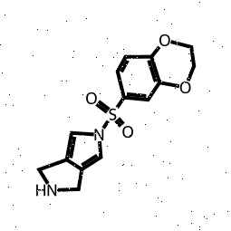 O=S(=O)(c1ccc2c(c1)OCCO2)n1cc2c(c1)CNC2